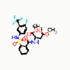 COC(=O)CC(NC(=O)c1ccccc1S(=O)(=O)Nc1ccc(F)c(C(F)(F)F)c1)C(=O)OC